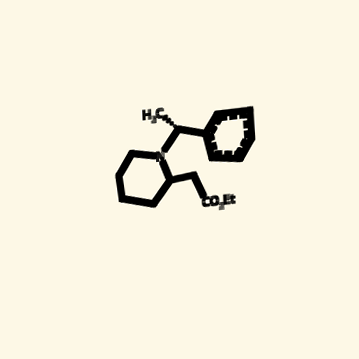 CCOC(=O)CC1CCCCN1[C@H](C)c1ccccc1